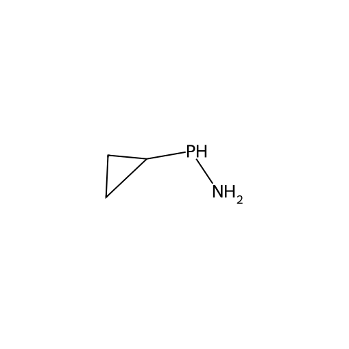 NPC1CC1